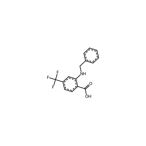 O=C(O)c1ccc(C(F)(F)F)cc1NCc1ccccc1